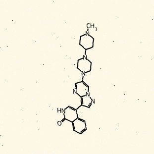 CN1CCC(N2CCN(c3cnc4c(-c5c[nH]c(=O)c6ccccc56)cnn4c3)CC2)CC1